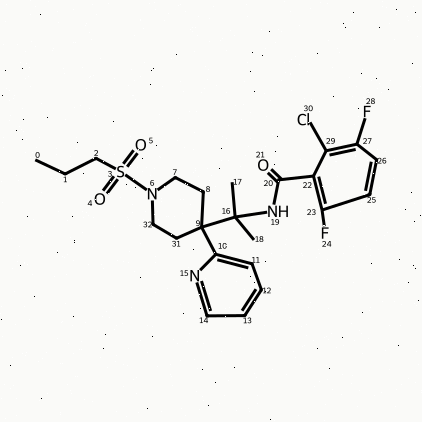 CCCS(=O)(=O)N1CCC(c2ccccn2)(C(C)(C)NC(=O)c2c(F)ccc(F)c2Cl)CC1